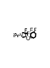 CC(C)N1C[C@H](O[C@H]2CCCC(F)(F)C2)C(F)(F)C1